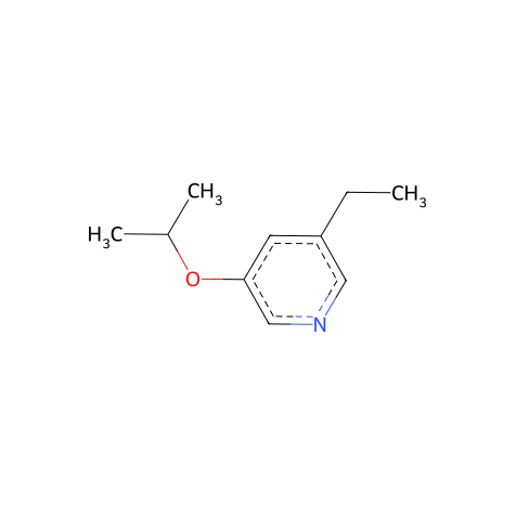 CCc1cncc(OC(C)C)c1